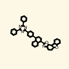 c1ccc(-c2nc(-c3ccccc3)nc(-c3ccc(-c4ccc(-c5nc6ccc7oc8ccccc8c7c6o5)c5ccccc45)cc3)n2)cc1